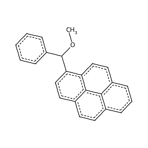 COC(c1ccccc1)c1ccc2ccc3cccc4ccc1c2c34